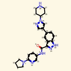 O=C(Nc1ccc(N2CCCC2)nc1)c1n[nH]c2ccc(-c3cnn(C4CCNCC4)c3)cc12